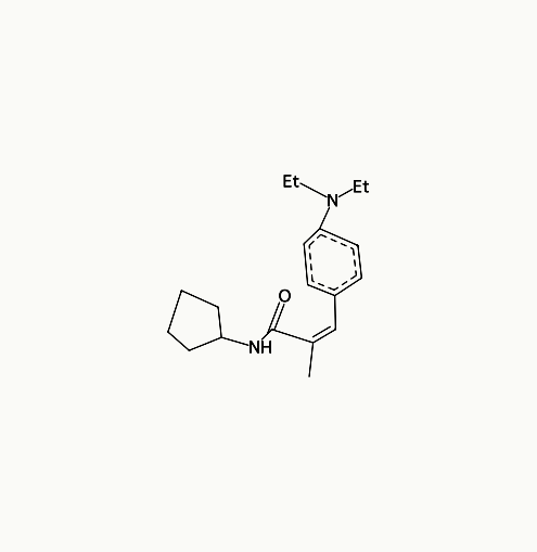 CCN(CC)c1ccc(/C=C(/C)C(=O)NC2CCCC2)cc1